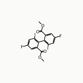 COC(=O)c1cc(F)cc(I)c1-c1c(I)cc(F)cc1C(=O)OC